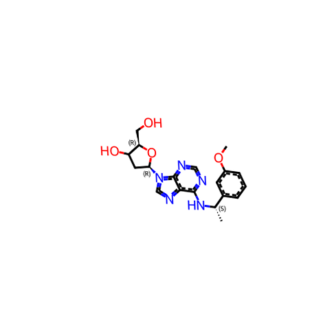 COc1cccc([C@H](C)Nc2ncnc3c2ncn3[C@H]2CC(O)[C@@H](CO)O2)c1